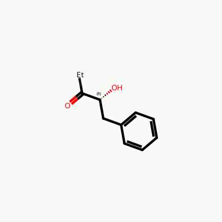 CCC(=O)[C@H](O)Cc1ccccc1